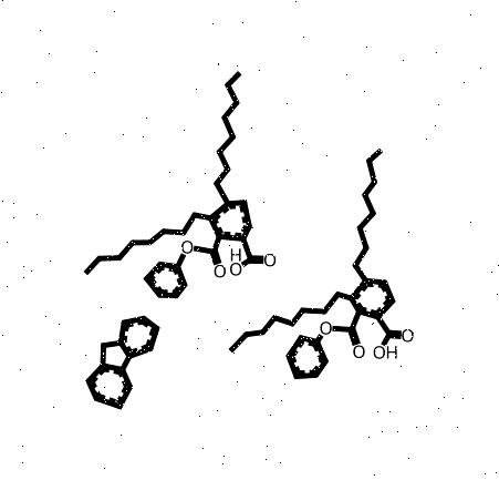 CCCCCCCCc1ccc(C(=O)O)c(C(=O)Oc2ccccc2)c1CCCCCCCC.CCCCCCCCc1ccc(C(=O)O)c(C(=O)Oc2ccccc2)c1CCCCCCCC.c1ccc2c(c1)Cc1ccccc1-2